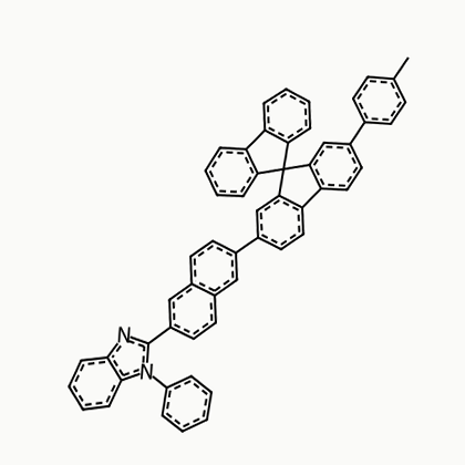 Cc1ccc(-c2ccc3c(c2)C2(c4ccccc4-c4ccccc42)c2cc(-c4ccc5cc(-c6nc7ccccc7n6-c6ccccc6)ccc5c4)ccc2-3)cc1